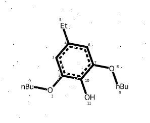 CCCCOc1cc(CC)cc(OCCCC)c1O